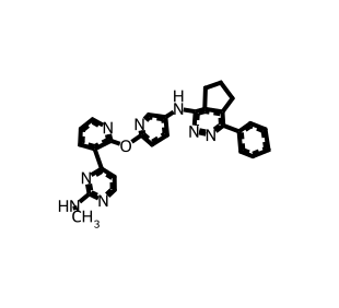 CNc1nccc(-c2cccnc2Oc2ccc(Nc3nnc(-c4ccccc4)c4c3CCC4)cn2)n1